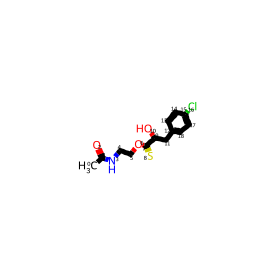 CC(=O)NCCOC(=S)C(O)Cc1ccc(Cl)cc1